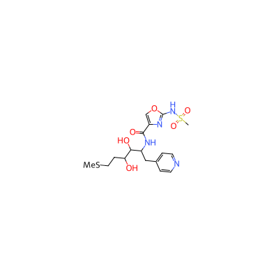 CSCCC(O)C(O)C(Cc1ccncc1)NC(=O)c1coc(NS(C)(=O)=O)n1